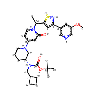 COc1cncc(-c2cc(C(C)n3ccc(N4CCC[C@@H](N(CC5CCC5)C(=O)OC(C)(C)C)C4)cc3=O)sn2)c1